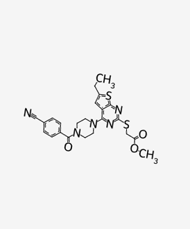 CCc1cc2c(N3CCN(C(=O)c4ccc(C#N)cc4)CC3)nc(SCC(=O)OC)nc2s1